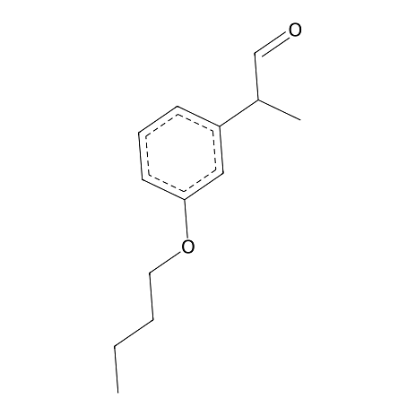 CCCCOc1cccc(C(C)C=O)c1